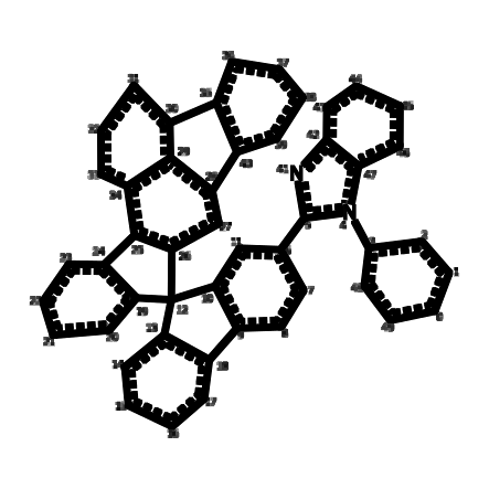 c1ccc(-n2c(-c3ccc4c(c3)C3(c5ccccc5-4)c4ccccc4-c4c3cc3c5c(cccc45)-c4ccccc4-3)nc3ccccc32)cc1